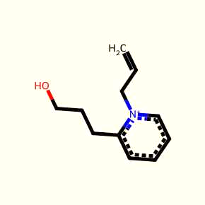 C=CC[n+]1ccccc1CCCO